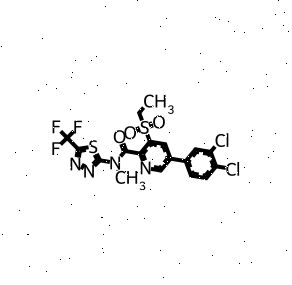 CCS(=O)(=O)c1cc(-c2ccc(Cl)c(Cl)c2)cnc1C(=O)N(C)c1nnc(C(F)(F)F)s1